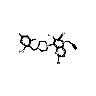 C#CCn1c(=O)c(C#N)c(N2CCN(Cc3c(C)cc(C)cc3O)CC2)c2nc(Br)ccc21